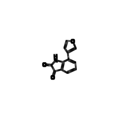 O=C1Nc2c(cccc2-c2ccoc2)C1=O